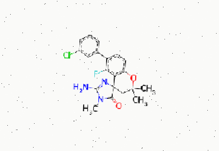 CN1C(=O)C2(CC(C)(C)Oc3ccc(-c4cccc(Cl)c4)c(F)c32)N=C1N